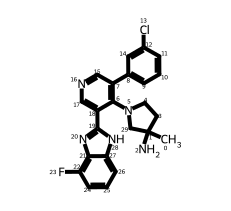 CC1(N)CCN(c2c(-c3cccc(Cl)c3)cncc2-c2nc3c(F)cccc3[nH]2)C1